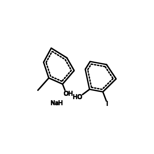 Cc1ccccc1O.Oc1ccccc1I.[NaH]